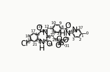 Cc1ccc(NC(=O)c2ccc(CN3C(=O)c4ccc(Cl)cc4NC(=O)[C@H]3CCOS(C)(=O)=O)cc2)nc1